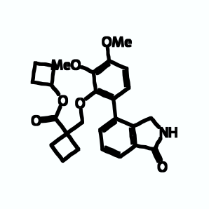 COc1ccc(-c2cccc3c2CNC3=O)c(OCC2(C(=O)OC3CCC3)CCC2)c1OC